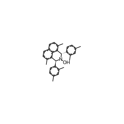 Cc1ccc([C@H]2c3c(C)ccc4ccc(C)c(c34)[C@H](c3ccc(C)cc3C)N2O)c(C)c1